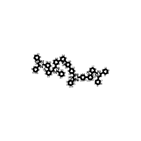 c1ccc(-c2cc(-c3ccccc3)nc(-c3cccc4sc5c(-c6ccc(-c7nc(-c8ccc(-c9ccc%10c(c9)sc9c(-c%11cccc(-c%12cc(-c%13cccc%14sc%15c(-c%16nc(-c%17ccccc%17)c%17sc%18ccccc%18c%17n%16)cccc%15c%13%14)nc(-c%13ccccc%13)n%12)c%11)cccc9%10)cc8)c8sc9ccccc9c8n7)cc6)cccc5c34)n2)cc1